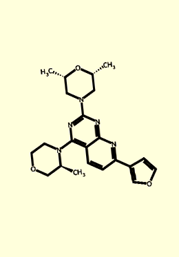 C[C@@H]1CN(c2nc(N3CCOC[C@@H]3C)c3ccc(-c4ccoc4)nc3n2)C[C@H](C)O1